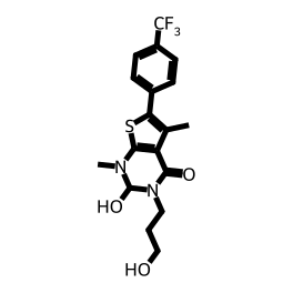 Cc1c(-c2ccc(C(F)(F)F)cc2)sc2c1C(=O)N(CCCO)C(O)N2C